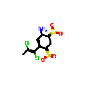 CC(Cl)=C(Cl)C1=CC(N)C(=S(=O)=O)CC1=S(=O)=O